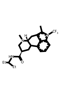 CCC(CC)NC(=O)[C@@H]1CC2c3cccc4c3c(c(C)n4C(F)(F)F)C[C@H]2N(C)C1